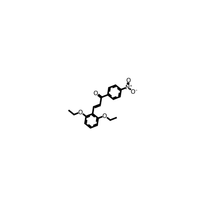 CCOc1cccc(OCC)c1/C=C/C(=O)c1ccc([N+](=O)[O-])cc1